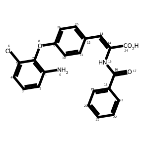 Nc1cccc(Cl)c1Oc1ccc(C=C(NC(=O)c2ccccc2)C(=O)O)cc1